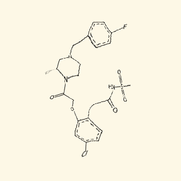 C[C@@H]1CN(Cc2ccc(F)cc2)CCN1C(=O)COc1cc(Cl)ccc1CC(=O)NS(C)(=O)=O